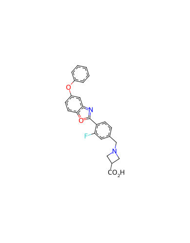 O=C(O)C1CN(Cc2ccc(-c3nc4cc(Oc5ccccc5)ccc4o3)c(F)c2)C1